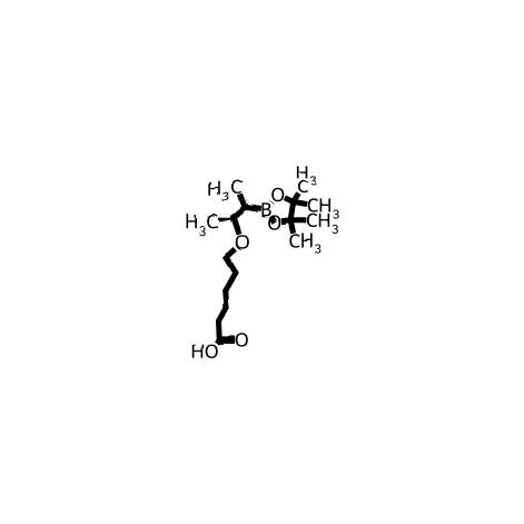 CC(B1OC(C)(C)C(C)(C)O1)[C@H](C)OCCCCCC(=O)O